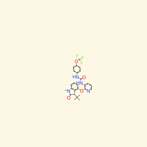 CN1C(=O)C(C(C)(C)C)c2c(Oc3ncccc3NC(=O)Nc3ccc(OC(F)(F)F)cc3)cccc21